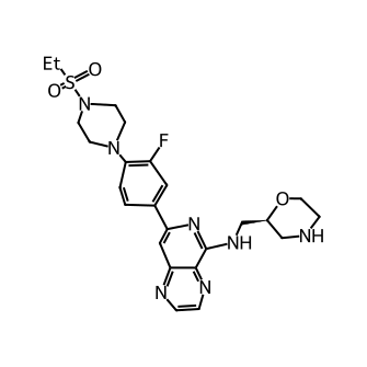 CCS(=O)(=O)N1CCN(c2ccc(-c3cc4nccnc4c(NC[C@@H]4CNCCO4)n3)cc2F)CC1